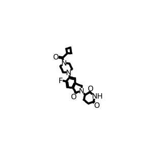 O=C1CCC(N2Cc3cc(N4CCN(C(=O)C5CCC5)CC4)c(F)cc3C2=O)C(=O)N1